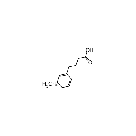 C[C@@H]1C=C(CCCC(=O)O)C=CC1